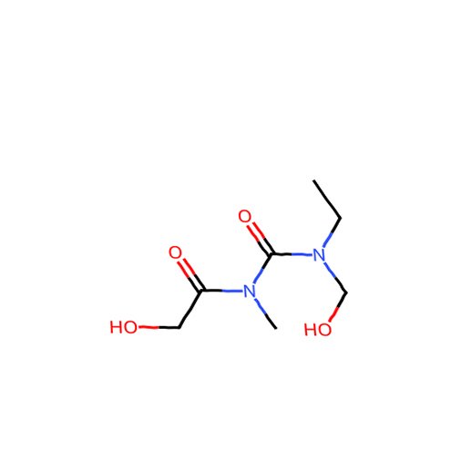 CCN(CO)C(=O)N(C)C(=O)CO